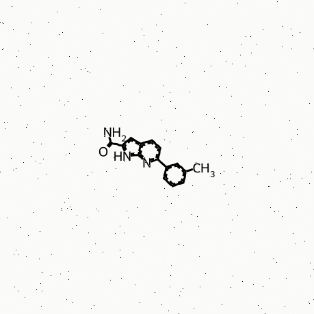 Cc1cccc(-c2ccc3cc(C(N)=O)[nH]c3n2)c1